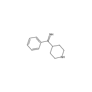 N=C(c1ccccc1)C1CCNCC1